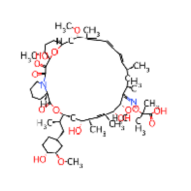 CO[C@H]1C[C@@H]2CC[C@@H](C)[C@@](O)(O2)C(=O)C(=O)N2CCCC[C@H]2C(=O)O[C@H]([C@H](C)C[C@@H]2CC[C@@H](O)[C@H](OC)C2)C[C@@H](O)[C@H](C)/C=C(\C)[C@@H](O)[C@@H](OC)C(=NOC(C)(C)C(=O)O)[C@H](C)C[C@H](C)/C=C/C=C/C=C/1C